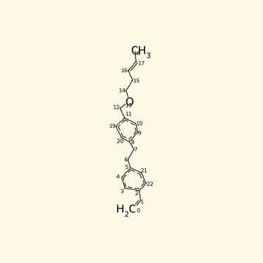 C=Cc1ccc(CCc2ccc(COCC/C=C/C)cc2)cc1